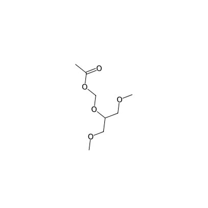 COCC(COC)OCOC(C)=O